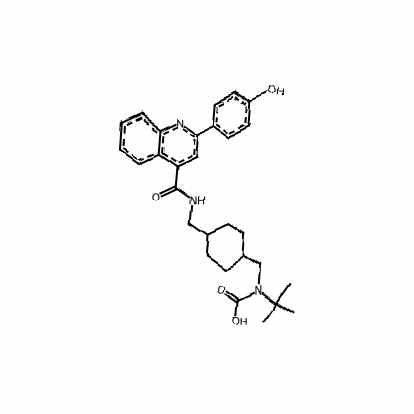 CC(C)(C)N(CC1CCC(CNC(=O)c2cc(-c3ccc(O)cc3)nc3ccccc23)CC1)C(=O)O